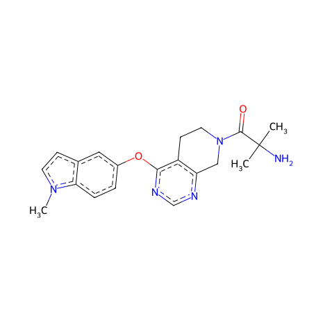 Cn1ccc2cc(Oc3ncnc4c3CCN(C(=O)C(C)(C)N)C4)ccc21